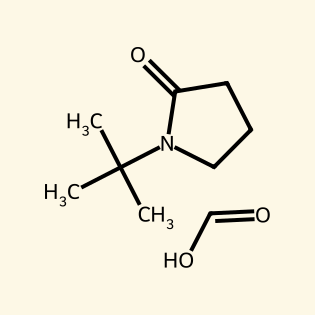 CC(C)(C)N1CCCC1=O.O=CO